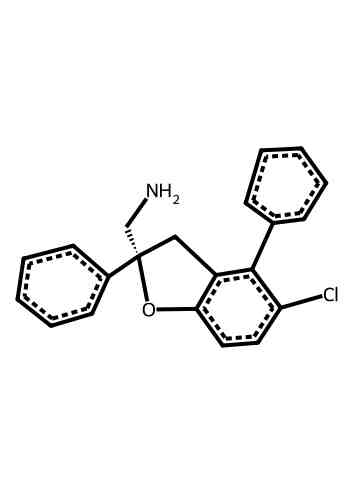 NC[C@]1(c2ccccc2)Cc2c(ccc(Cl)c2-c2ccccc2)O1